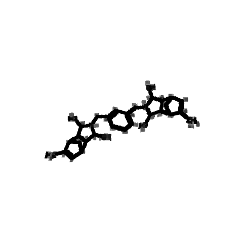 CC1=CC2CC1C1C2C(O)N(Cc2cccc(CN3C(O)C4C5C=C(C)C(C5)C4C3O)c2)C1O